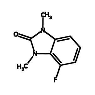 Cn1c(=O)n(C)c2c(F)cccc21